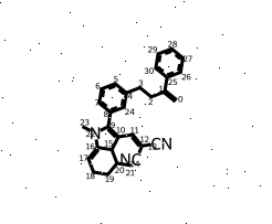 C=C(CCc1cccc(C2=C(C=C(C#N)C#N)C3C(=CCCC3C)N2C)c1)c1ccccc1